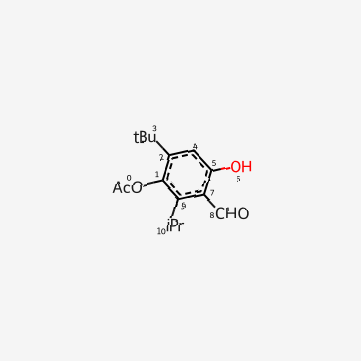 CC(=O)Oc1c(C(C)(C)C)cc(O)c(C=O)c1C(C)C